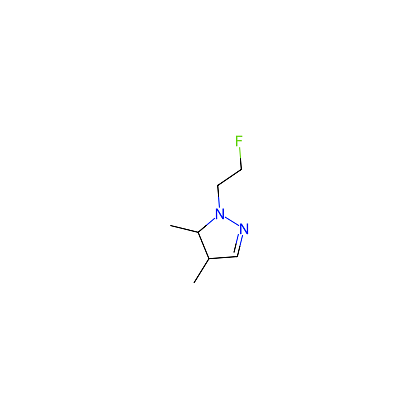 CC1C=NN(CCF)C1C